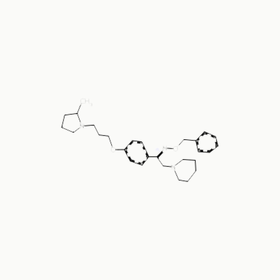 CC1CCCN1CCCOc1ccc(/C(CN2CCCCC2)=N/OCc2ccccc2)cc1